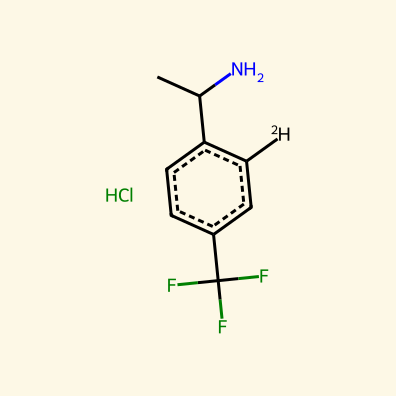 Cl.[2H]c1cc(C(F)(F)F)ccc1C(C)N